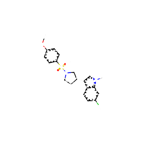 CCn1cc([C@@H]2CCN(S(=O)(=O)c3ccc(OC(C)C)cc3)C2)c2ccc(Cl)cc21